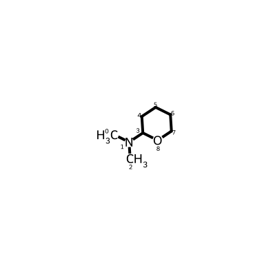 CN(C)C1CCCCO1